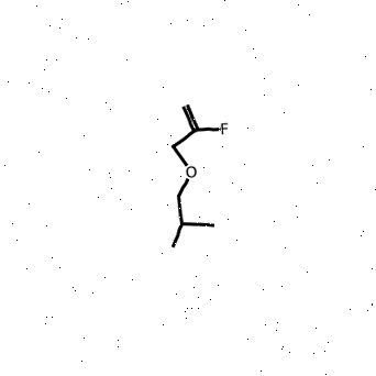 C=C(F)COCC(C)C